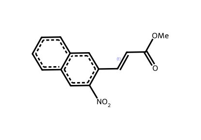 COC(=O)/C=C/c1cc2ccccc2cc1[N+](=O)[O-]